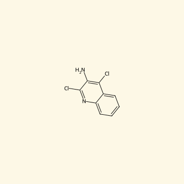 Nc1c(Cl)nc2ccccc2c1Cl